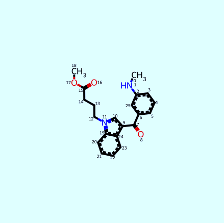 CNc1cccc(C(=O)c2cn(CCCC(=O)OC)c3ccccc23)c1